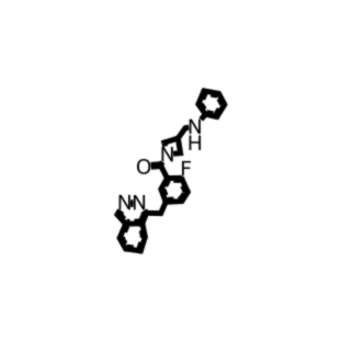 O=C(c1cc(Cc2nncc3ccccc23)ccc1F)N1CC(CNc2ccccc2)C1